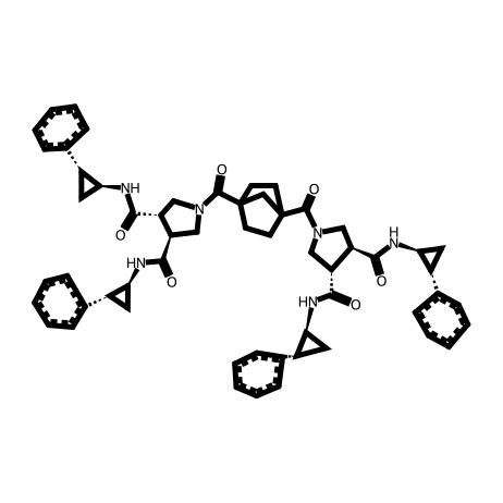 O=C(N[C@H]1C[C@@H]1c1ccccc1)[C@@H]1CN(C(=O)C23CCC(C(=O)N4C[C@@H](C(=O)N[C@H]5C[C@@H]5c5ccccc5)[C@H](C(=O)N[C@H]5C[C@@H]5c5ccccc5)C4)(CC2)C3)C[C@H]1C(=O)N[C@H]1C[C@@H]1c1ccccc1